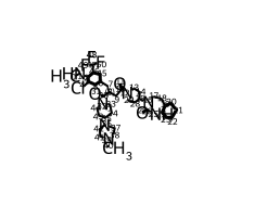 CNc1c(Cl)cc(C[C@@H](CC(=O)N2CCC(N3CCc4ccccc4NC3=O)CC2)C(=O)N2CCC(N3CCN(C)CC3)CC2)cc1C(F)(F)F